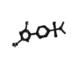 CN(C)S(=O)(=O)c1ccc(-c2nc(N)sc2Cl)cc1